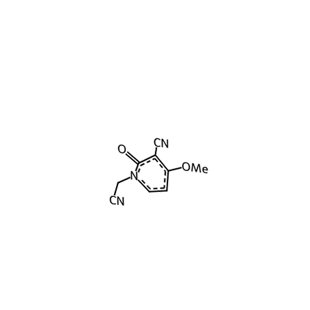 COc1ccn(CC#N)c(=O)c1C#N